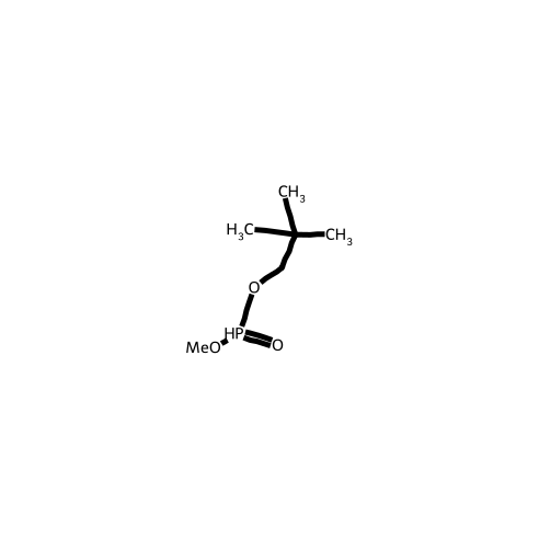 CO[PH](=O)OCC(C)(C)C